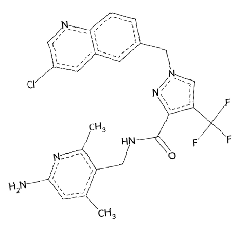 Cc1cc(N)nc(C)c1CNC(=O)c1nn(Cc2ccc3ncc(Cl)cc3c2)cc1C(F)(F)F